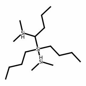 CCCC[Si](CCCC)(C(CCC)[SiH](C)C)[SiH](C)C